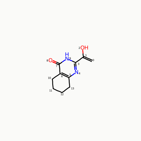 C=C(O)c1nc2c(c(=O)[nH]1)CCCC2